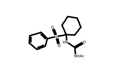 CC(=O)NC(=O)NC1(S(=O)(=O)c2ccccc2)CCCCC1